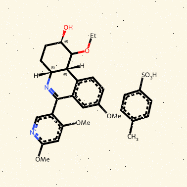 CCOC1[C@H](O)CC[C@H]2N=C(c3cnc(OC)cc3OC)c3cc(OC)ccc3[C@@H]12.Cc1ccc(S(=O)(=O)O)cc1